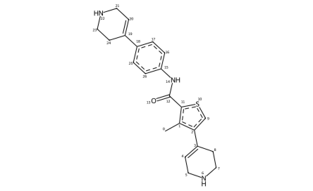 Cc1c(C2=CCNCC2)csc1C(=O)Nc1ccc(C2=CCNCC2)cc1